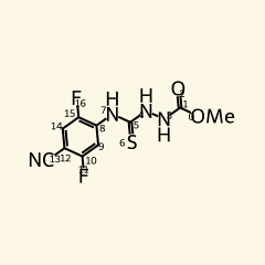 COC(=O)NNC(=S)Nc1cc(F)c(C#N)cc1F